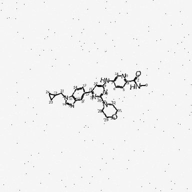 CNC(=O)c1ccc(Nc2cc(-c3ccc4c(c3)ncn4CC3CC3)nc(N3CCOCC3)n2)cn1